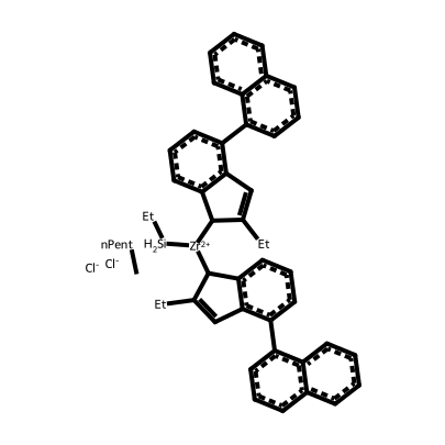 CCCCCC.CC[SiH2][Zr+2]([CH]1C(CC)=Cc2c(-c3cccc4ccccc34)cccc21)[CH]1C(CC)=Cc2c(-c3cccc4ccccc34)cccc21.[Cl-].[Cl-]